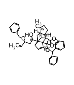 C=CC(C[C@@H](O)C12C[C@@H]3[C@H](C)CC[C@H]3C3(C4OCCO4)CC1C=C(C(C)C)C23C(=O)OC(c1ccccc1)c1ccccc1)OCc1ccccc1